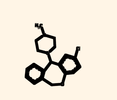 CN1CCN(C2c3ccccc3COc3ccc(Cl)cc32)CC1